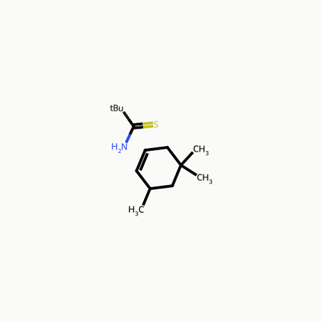 CC(C)(C)C(N)=S.CC1C=CCC(C)(C)C1